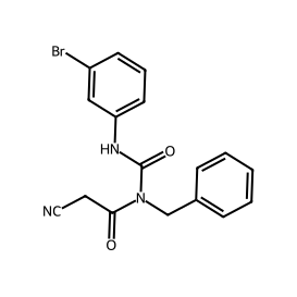 N#CCC(=O)N(Cc1ccccc1)C(=O)Nc1cccc(Br)c1